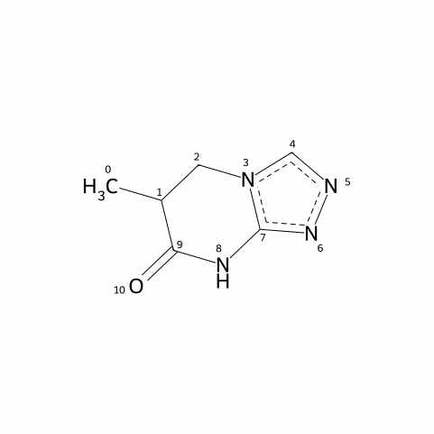 CC1Cn2cnnc2NC1=O